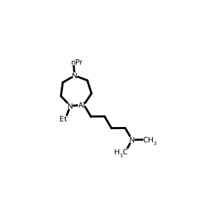 CCCN1CC[N](CC)[Al]([CH2]CCCN(C)C)[CH2]C1